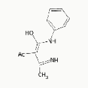 CC(=N)/C(C(C)=O)=C(/O)Nc1ccccc1